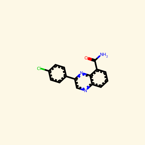 NC(=O)c1cccc2ncc(-c3ccc(Cl)cc3)nc12